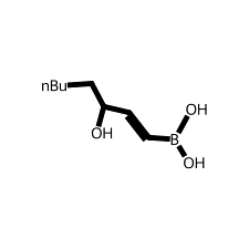 CCCCCC(O)C=CB(O)O